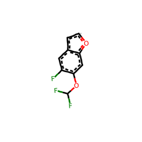 Fc1cc2c[c]oc2cc1OC(F)F